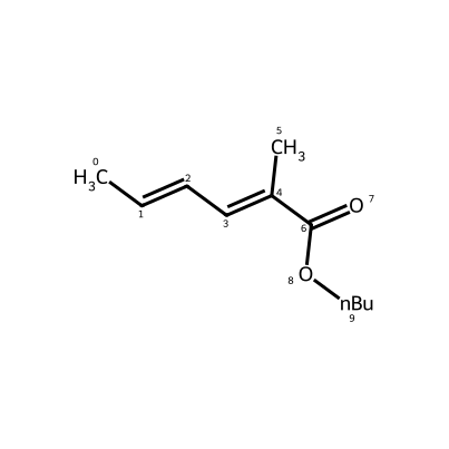 CC=CC=C(C)C(=O)OCCCC